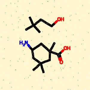 CC(C)(C)CCO.CC1(C)CC(N)CC(C)(C(=O)O)C1